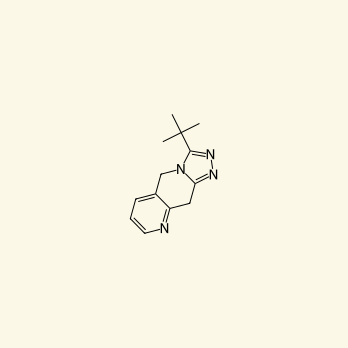 CC(C)(C)c1nnc2n1Cc1cccnc1C2